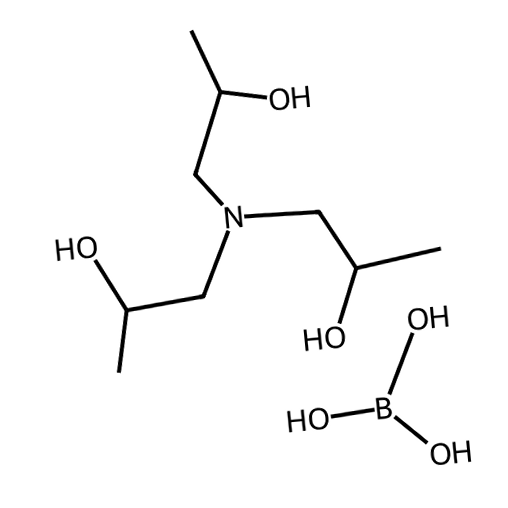 CC(O)CN(CC(C)O)CC(C)O.OB(O)O